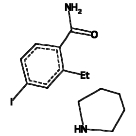 C1CCNCC1.CCc1cc(I)ccc1C(N)=O